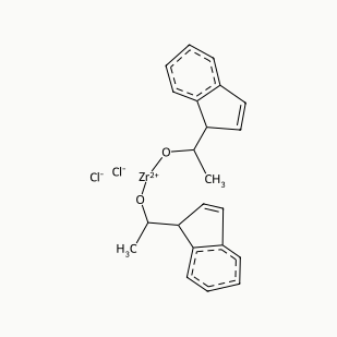 CC([O][Zr+2][O]C(C)C1C=Cc2ccccc21)C1C=Cc2ccccc21.[Cl-].[Cl-]